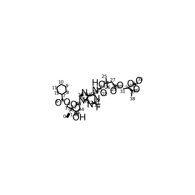 C#C[C@]1(COC(=O)C2CCCCC2)O[C@@H](n2cnc3c(NC(=O)OC(C)(C)CC(=O)OCc4oc(=O)oc4C)nc(F)nc32)C[C@@H]1O